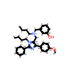 CCCCN(Cc1cccc(O)c1)Cc1c(-c2ccc(OC)cc2)nc(-c2ccccc2)n1CCCC